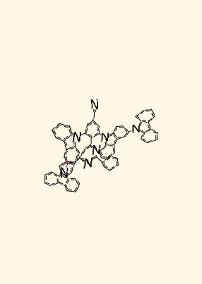 N#Cc1cc(-n2c3ccccc3c3cc(-n4c5ccccc5c5ccccc54)ccc32)c(-c2cc(-c3ccccc3)nc(-c3ccccc3)n2)c(-n2c3ccccc3c3cc(-n4c5ccccc5c5ccccc54)ccc32)c1